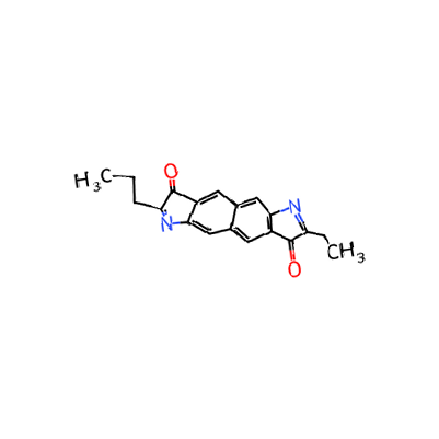 CCCc1nc2cc3cc4c(=O)c(CC)nc4cc3cc2c1=O